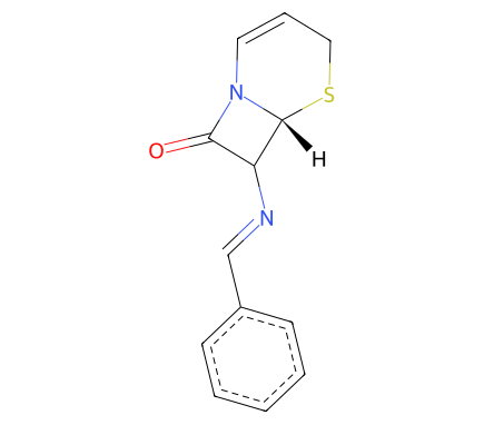 O=C1C(N=Cc2ccccc2)[C@H]2SCC=CN12